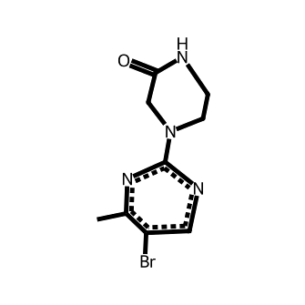 Cc1nc(N2CCNC(=O)C2)ncc1Br